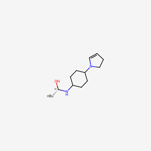 CCCC[C@H](O)NC1CCC(N2C=CCC2)CC1